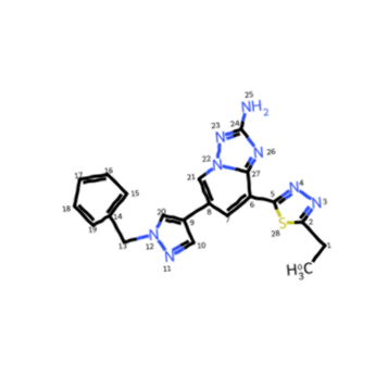 CCc1nnc(-c2cc(-c3cnn(Cc4ccccc4)c3)cn3nc(N)nc23)s1